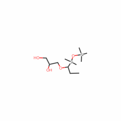 CCC(OCC(O)CO)[Si](C)(C)O[Si](C)(C)C